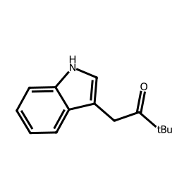 CC(C)(C)C(=O)Cc1c[nH]c2ccccc12